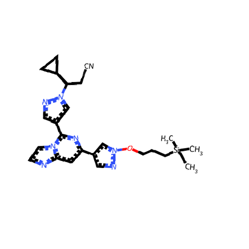 C[Si](C)(C)CCCOn1cc(-c2cc3nccn3c(-c3cnn(C(CC#N)C4CC4)c3)n2)cn1